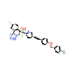 OC1(C(F)(F)c2ccc(C#Cc3ccc(OCc4ccc(Cl)cc4)cc3)cn2)Cn2nnnc2-c2cc(F)ccc21